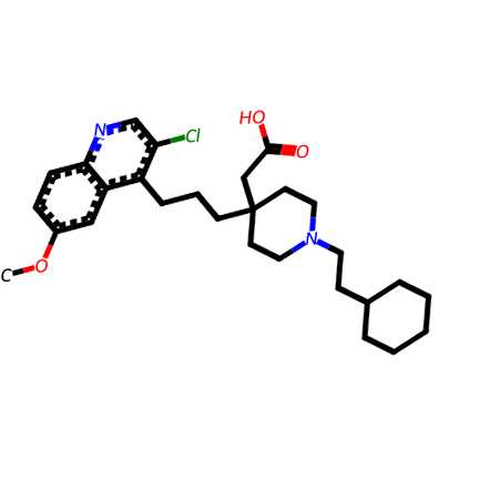 COc1ccc2ncc(Cl)c(CCCC3(CC(=O)O)CCN(CCC4CCCCC4)CC3)c2c1